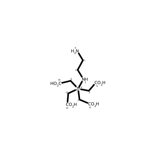 NCC[NH][Zr]([CH2]C(=O)O)([CH2]C(=O)O)([CH2]C(=O)O)[CH2]C(=O)O